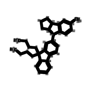 CCCCC1(CCCC)c2ccccc2-c2ccc(N3c4ccc(C)cc4C4CCCC43)cc21